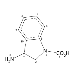 NC1CN(C(=O)O)c2ccccc21